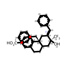 O=C(O)c1ccc2c(c1)CCC1C[C@@](O)(C(F)(F)F)/C(=C/c3ccccc3)C[C@@]21Cc1ccccc1